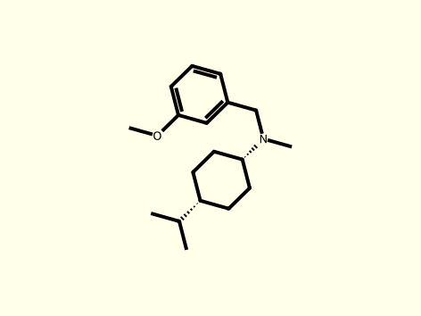 COc1cccc(CN(C)[C@H]2CC[C@@H](C(C)C)CC2)c1